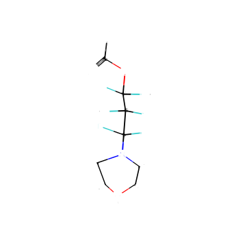 C=C(OC(F)(F)C(F)(F)C(F)(F)N1CCOCC1)C(F)(F)F